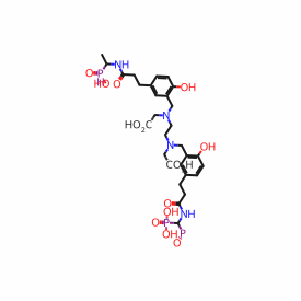 CC(NC(=O)CCc1ccc(O)c(CN(CCN(CC(=O)O)Cc2cc(CCC(=O)NC(P=O)P(=O)(O)O)ccc2O)CC(=O)O)c1)[PH](=O)O